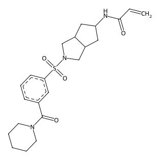 C=CC(=O)NC1CC2CN(S(=O)(=O)c3cccc(C(=O)N4CCCCC4)c3)CC2C1